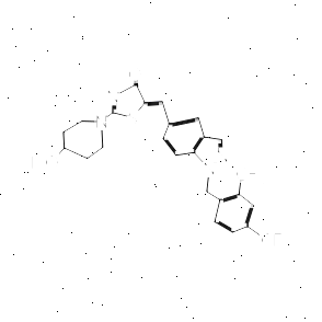 O=C1N=C(N2CCC(O)CC2)S/C1=C\c1ccc2c(cnn2Cc2ccc(C(F)(F)F)cc2C(F)(F)F)c1